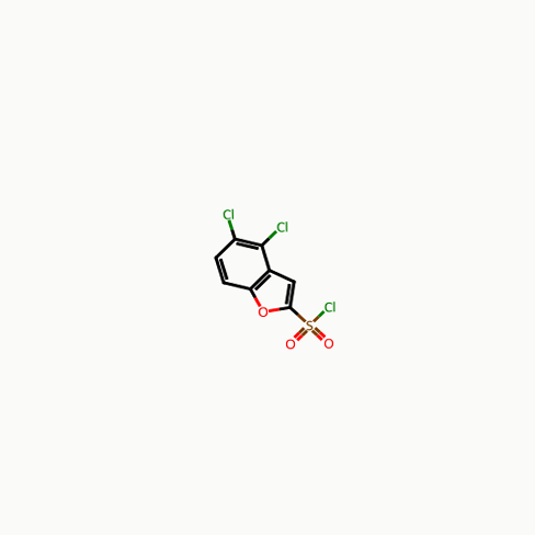 O=S(=O)(Cl)c1cc2c(Cl)c(Cl)ccc2o1